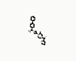 CC1CN(C(=O)c2nccs2)CCN1C1CN(C(=O)c2ccc(-c3ccccc3)cc2)C1